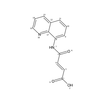 O=C(O)C=CC(=O)Nc1cccc2cccnc12